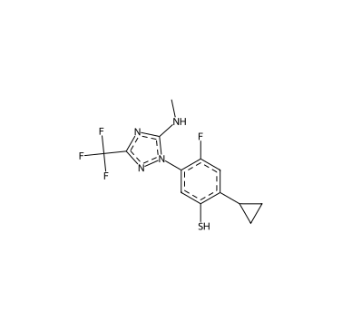 CNc1nc(C(F)(F)F)nn1-c1cc(S)c(C2CC2)cc1F